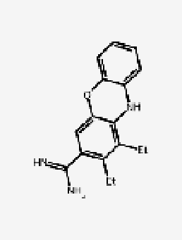 CCc1c(C(=N)N)cc2c(c1CC)Nc1ccccc1O2